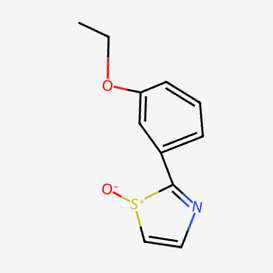 CCOc1cccc(-c2ncc[s+]2[O-])c1